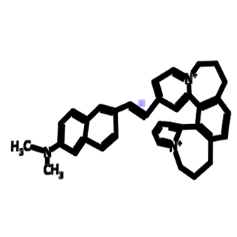 CN(C)c1ccc2cc(/C=C/c3cc[n+]4c(c3)-c3c(ccc5c3-c3cccc[n+]3CCC5)CCC4)ccc2c1